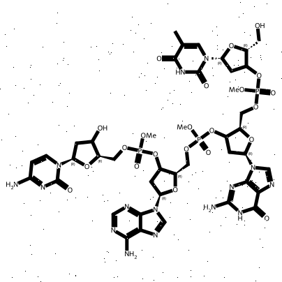 COP(=O)(OC[C@H]1O[C@@H](n2cnc3c(=O)[nH]c(N)nc32)CC1OP(=O)(OC)OC[C@H]1O[C@@H](n2cnc3c(N)ncnc32)CC1OP(=O)(OC)OC[C@H]1O[C@@H](n2ccc(N)nc2=O)CC1O)OC1C[C@H](n2cc(C)c(=O)[nH]c2=O)O[C@@H]1CO